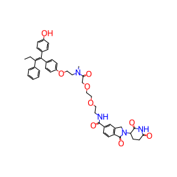 CC/C(=C(\c1ccc(O)cc1)c1ccc(OCCN(C)C(=O)COCCOCCNC(=O)c2ccc3c(c2)CN(C2CCC(=O)NC2=O)C3=O)cc1)c1ccccc1